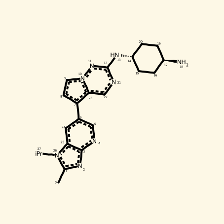 Cc1nc2ncc(-c3ccn4nc(N[C@H]5CC[C@H](N)CC5)ncc34)cc2n1C(C)C